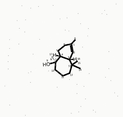 CC1=C[C@H]2[C@@H](CC1)[C@](C)(O)CCCC2(C)C